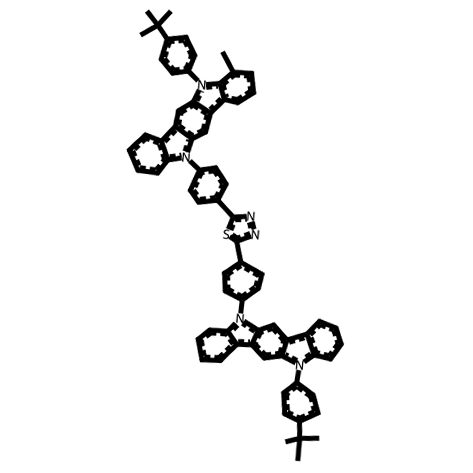 Cc1cccc2c3cc4c(cc3n(-c3ccc(C(C)(C)C)cc3)c12)c1ccccc1n4-c1ccc(-c2nnc(-c3ccc(-n4c5ccccc5c5cc6c(cc54)c4ccccc4n6-c4ccc(C(C)(C)C)cc4)cc3)s2)cc1